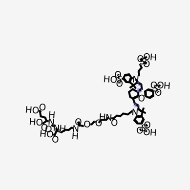 CC1(C)C(/C=C/C2=C(Oc3ccc(S(=O)(=O)O)cc3)C(=C/C=C3/N(CCCCS(=O)(=O)O)c4ccc(S(=O)(=O)O)cc4C3(C)C)/CCC2)=[N+](CCCCCC(=O)NCCOCCOCC(=O)NCCCC[C@H](NC(=O)NC(CCC(=O)O)C(=O)O)C(=O)O)c2ccc(S(=O)(=O)O)cc21